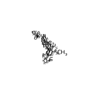 CC[C@H]1CC[C@](CC)(c2ccnc(-n3cnc(CCS(=O)(=O)C4COC4)n3)n2)c2nnc(-c3c(F)cccc3F)cc21